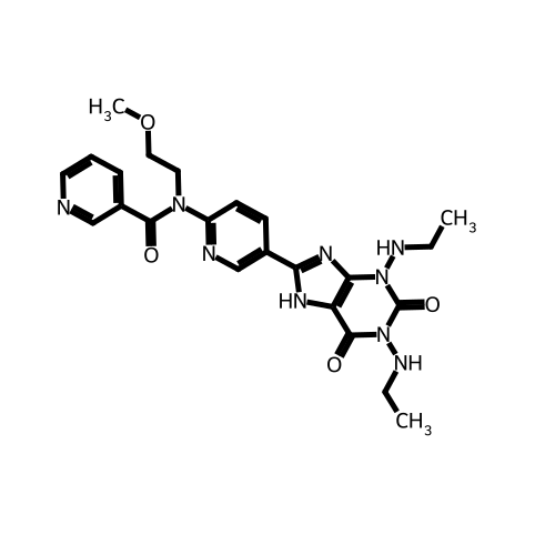 CCNn1c(=O)c2[nH]c(-c3ccc(N(CCOC)C(=O)c4cccnc4)nc3)nc2n(NCC)c1=O